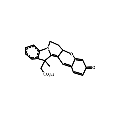 CCOC(=O)CC1(C)C2=C3C=C4C=CC(=O)C=C4OC3CCN2c2ccccc21